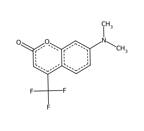 CN(C)c1ccc2c(C(F)(F)F)cc(=O)oc2c1